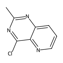 Cc1nc(Cl)c2ncccc2n1